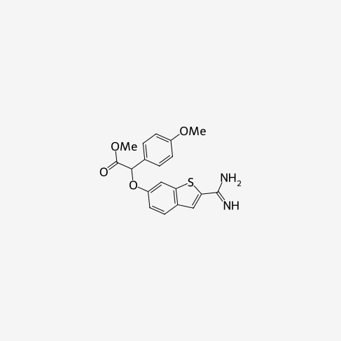 COC(=O)C(Oc1ccc2cc(C(=N)N)sc2c1)c1ccc(OC)cc1